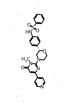 Cn1c(N2CCO[C@@H](c3ccc(NS(=O)(=O)c4ccccc4)cc3)C2)nc(-c2ccncc2)cc1=O